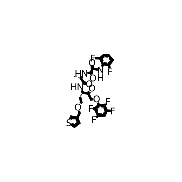 C[C@H](NC(=O)C(=O)Nc1c(F)cccc1F)C(=O)N[C@@H](CCOCc1ccsc1)C(=O)COc1c(F)c(F)cc(F)c1F